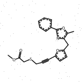 COC(=O)CSCC#Cc1ccc(Cc2nc(-c3ccccc3)oc2C)o1